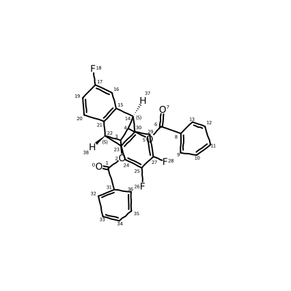 O=C(OC1C(OC(=O)c2ccccc2)[C@H]2c3cc(F)ccc3[C@H]1c1cc(F)c(F)cc12)c1ccccc1